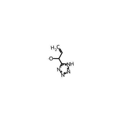 C=CC([O])c1nnn[nH]1